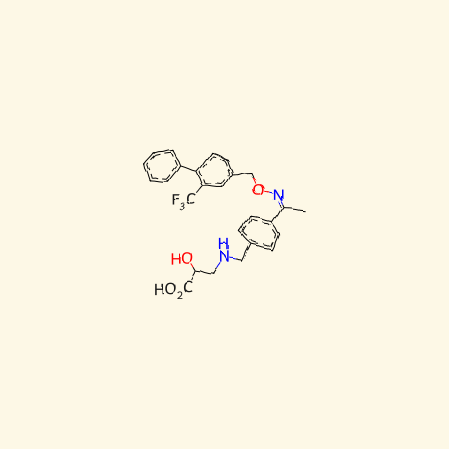 CC(=NOCc1ccc(-c2ccccc2)c(C(F)(F)F)c1)c1ccc(CNCC(O)C(=O)O)cc1